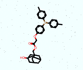 Cc1ccc([S+](c2ccc(C)cc2)c2ccc(OCC(=O)OCC34CC5CC(CC(O)(C5)C3)C4)cc2)cc1